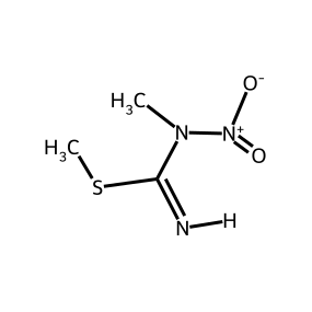 [H]/N=C(/SC)N(C)[N+](=O)[O-]